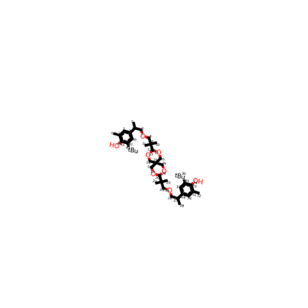 Cc1cc(C(C)COCC(C)(C)C2OCC3(CO2)COC(C(C)(C)COCC(C)c2cc(C)c(O)c(C(C)(C)C)c2)OC3)cc(C(C)(C)C)c1O